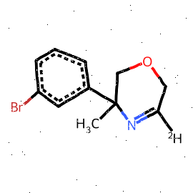 [2H]C1=NC(C)(c2cccc(Br)c2)COC1